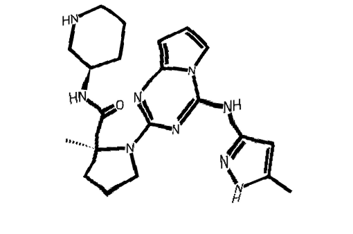 Cc1cc(Nc2nc(N3CCC[C@@]3(C)C(=O)N[C@@H]3CCCNC3)nc3cccn23)n[nH]1